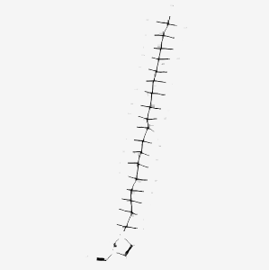 C=C[n+]1ccn(C(F)(F)C(F)(F)C(F)(F)C(F)(F)C(F)(F)C(F)(F)C(F)(F)C(F)(F)C(F)(F)C(F)(F)C(F)(F)C(F)(F)C(F)(F)C(F)(F)C(F)(F)C(F)(F)C(F)(F)C(F)(F)F)c1